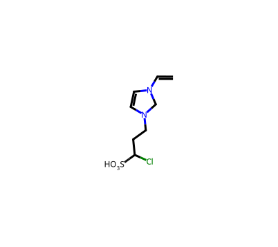 C=CN1C=CN(CCC(Cl)S(=O)(=O)O)C1